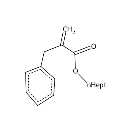 C=C(Cc1ccccc1)C(=O)OCCCCCCC